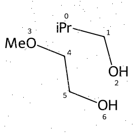 CC(C)CO.COCCO